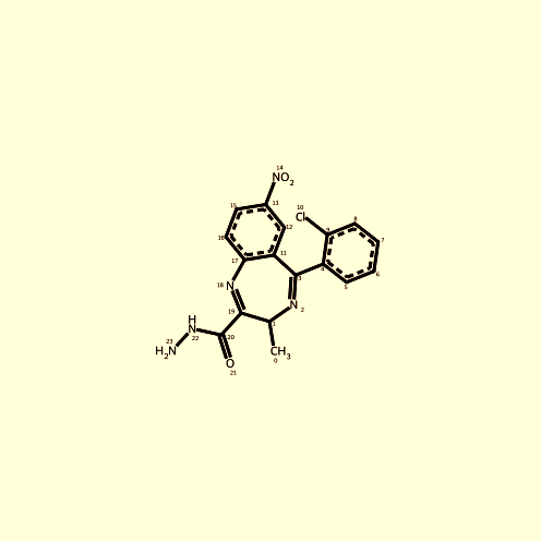 CC1N=C(c2ccccc2Cl)c2cc([N+](=O)[O-])ccc2N=C1C(=O)NN